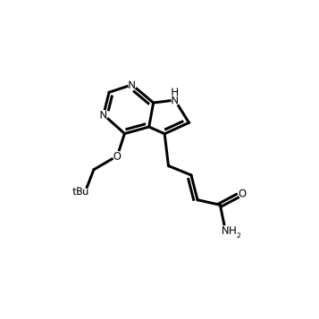 CC(C)(C)COc1ncnc2[nH]cc(C/C=C/C(N)=O)c12